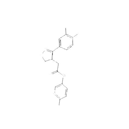 Cc1ccc(NC(=O)CC2CON=C2c2ccc(Cl)c(Cl)c2)cn1